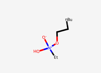 CCCCCCO[N+]([O-])(O)CC